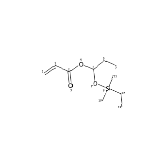 C=CC(=O)OC(CC)O[Si](C)(C)CC